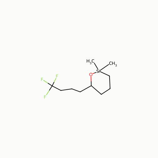 C[Si]1(C)CCCC(CCCC(F)(F)F)O1